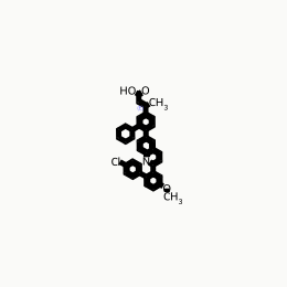 COc1ccc(-c2ccc(Cl)cc2)c(-c2ccc3cc(-c4ccc(/C(C)=C/C(=O)O)cc4C4CCCCC4)ccc3n2)c1